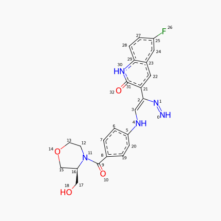 N=N/C(=C\Nc1ccc(C(=O)N2CCOC[C@@H]2CO)cc1)c1cc2cc(F)ccc2[nH]c1=O